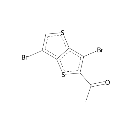 CC(=O)c1sc2c(Br)csc2c1Br